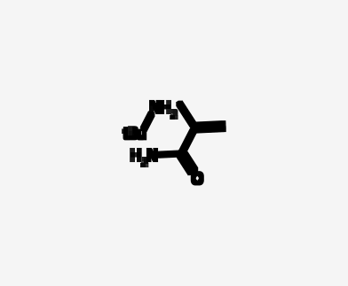 C=C(C)C(N)=O.CC(C)(C)N